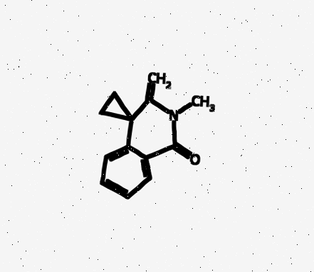 C=C1N(C)C(=O)c2ccccc2C12CC2